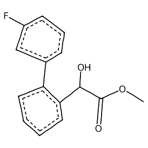 COC(=O)C(O)c1ccccc1-c1cccc(F)c1